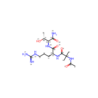 CC(=O)NC(C)(C)C(=O)N[C@@H](CCCNC(=N)N)C(=O)N[C@H](C(N)=O)[C@@H](C)O